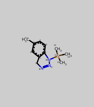 Cc1ccc2c(c1)CN=NN2S(C)(C)C